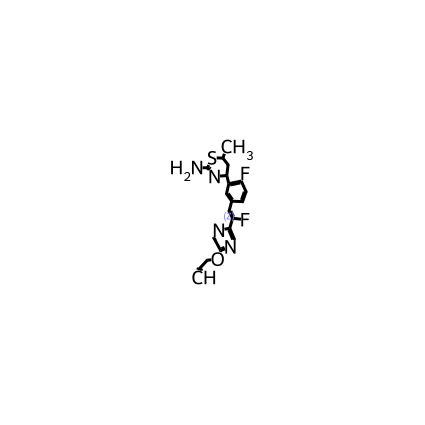 C#CCOc1cnc(/C(F)=C/c2ccc(F)c(C3CC(C)SC(N)=N3)c2)cn1